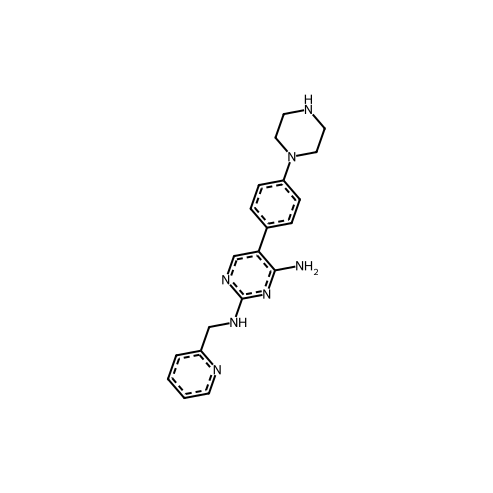 Nc1nc(NCc2ccccn2)ncc1-c1ccc(N2CCNCC2)cc1